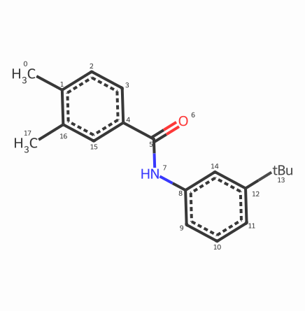 Cc1ccc(C(=O)Nc2cccc(C(C)(C)C)c2)cc1C